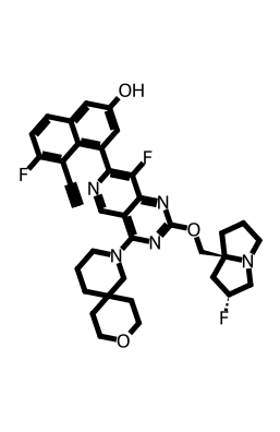 C#Cc1c(F)ccc2cc(O)cc(-c3ncc4c(N5CCCC6(CCOCC6)C5)nc(OC[C@@]56CCCN5C[C@H](F)C6)nc4c3F)c12